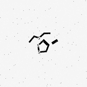 C1=CSSC1.C=C.CCSCC